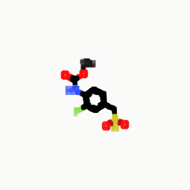 CC(C)(C)OC(=O)Nc1ccc(C[SH](=O)=O)cc1F